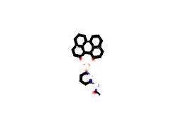 CC(=O)Nc1cccc(-p2oc3ccc4ccccc4c3c3c(ccc4ccccc43)o2)n1